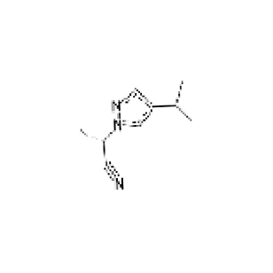 CC(C)c1cnn([C@@H](C)C#N)c1